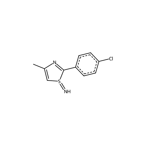 CC1=CS(=N)C(c2ccc(Cl)cc2)=N1